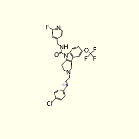 O=C(NCc1ccnc(F)c1)n1c2c(c3cc(OC(F)(F)F)ccc31)CN(C/C=C/c1ccc(Cl)cc1)CC2